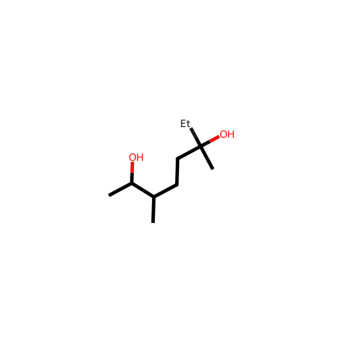 CCC(C)(O)CCC(C)C(C)O